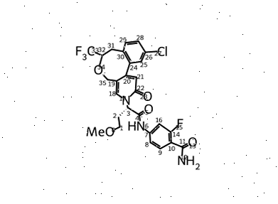 COCC[C@@H](C(=O)Nc1ccc(C(N)=O)c(F)c1)n1cc2c(cc1=O)-c1cc(Cl)ccc1CC(C(F)(F)F)OC2